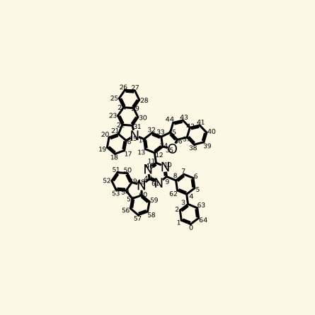 c1ccc(-c2cccc(-c3nc(-c4cc(-n5c6ccccc6c6cc7ccccc7cc65)cc5c4oc4c6ccccc6ccc54)nc(-n4c5ccccc5c5ccccc54)n3)c2)cc1